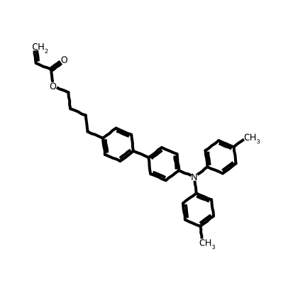 C=CC(=O)OCCCCc1ccc(-c2ccc(N(c3ccc(C)cc3)c3ccc(C)cc3)cc2)cc1